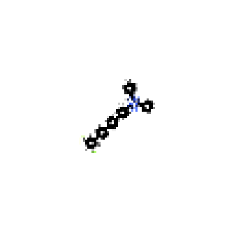 Fc1cc(F)cc(-c2ccc(-c3ccc(-c4ccc(-c5nc(-c6ccccc6)nc(-c6ccccc6)n5)cc4)cc3)cc2)c1